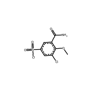 COc1c(Cl)cc(S(=O)(=O)Cl)cc1C(N)=O